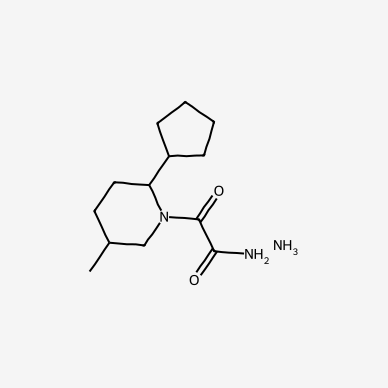 CC1CCC(C2CCCC2)N(C(=O)C(N)=O)C1.N